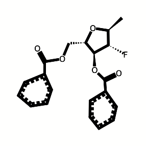 C[C@@H]1O[C@@H](COC(=O)c2ccccc2)[C@H](OC(=O)c2ccccc2)[C@H]1F